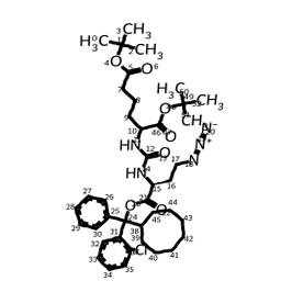 CC(C)(C)OC(=O)CCCC(NC(=O)N[C@@H](CCN=[N+]=[N-])C(=O)OC(c1ccccc1)(c1ccccc1Cl)C1CCCCCCC1)C(=O)OC(C)(C)C